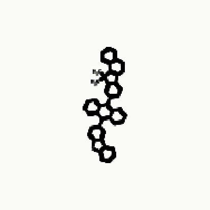 CC1(C)c2cc(-c3c4ccccc4c(-c4ccc5sc6ccccc6c5c4)c4ccccc34)ccc2-c2ccc3ccccc3c21